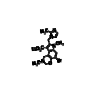 CCOC(=O)c1c(Cn2ccnc2C)n(C)c2cc(Br)c3c(c12)CN(C)CO3